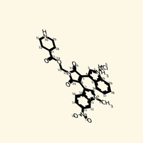 Cl.Cn1cc(C2=C(c3cn(C)c4cc([N+](=O)[O-])ccc34)C(=O)N(COC(=O)C3CCNCC3)C2=O)c2ccccc21